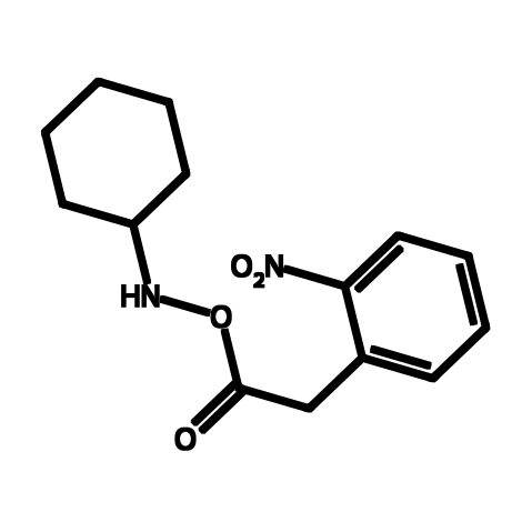 O=C(Cc1ccccc1[N+](=O)[O-])ONC1CCCCC1